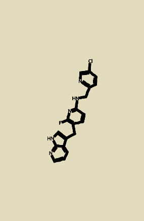 Fc1nc(NCc2ccc(Cl)cn2)ccc1Cc1c[nH]c2ncccc12